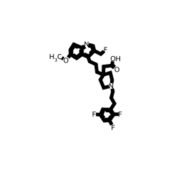 COc1ccc2ncc(CF)c(CCCC3(CC(=O)O)CCN(CCCc4cc(F)cc(F)c4F)CC3)c2c1